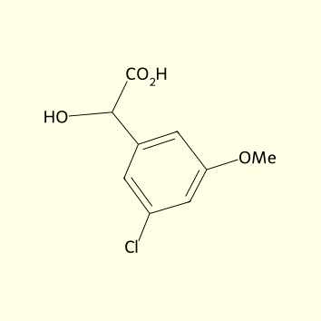 COc1cc(Cl)cc(C(O)C(=O)O)c1